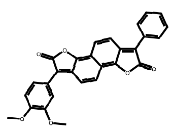 COc1ccc(C2=c3ccc4c5c(ccc4c3OC2=O)=C(c2ccccc2)C(=O)O5)cc1OC